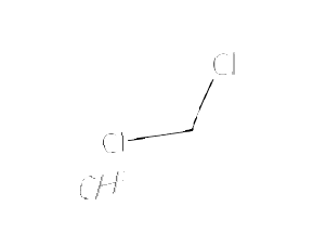 ClCCl.[CH]